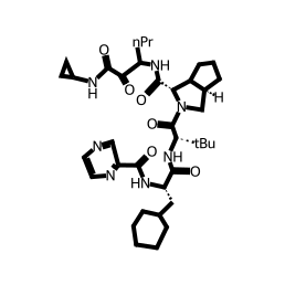 CCCC(NC(=O)[C@@H]1C2CCC[C@H]2CN1C(=O)[C@@H](NC(=O)[C@H](CC1CCCCC1)NC(=O)c1cnccn1)C(C)(C)C)C(=O)C(=O)NC1CC1